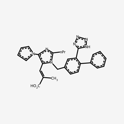 CCCc1nc(-n2cccc2)c(/C=C(\C)C(=O)O)n1Cc1ccc(-c2ccccc2)c(-c2nnn[nH]2)c1